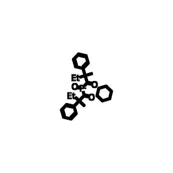 C1CCCCC1.CCC(C)(C(=O)[P](=O)C(=O)C(C)(CC)c1ccccc1)c1ccccc1